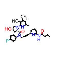 C/C=C/C(=O)Nc1cccc(C#CCN(C(=O)[C@@H]2C[C@H](O)CN2c2nc(C)cc(C(F)(F)F)c2C#N)c2ccc(F)cc2)n1